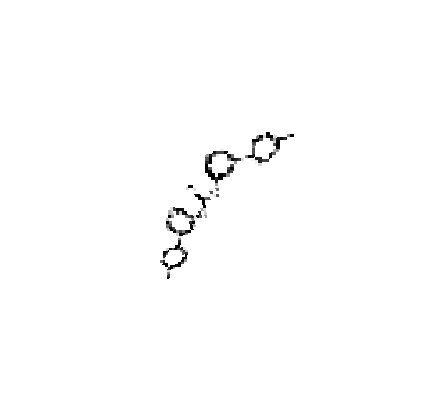 Cc1ccc(-c2cccc(OC(=O)Oc3cccc(-c4ccc(C)cc4)c3)c2)cc1